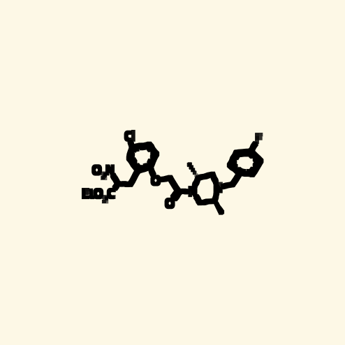 CCOC(=O)C(Cc1cc(Cl)ccc1OCC(=O)N1C[C@H](C)N(Cc2ccc(F)cc2)C[C@H]1C)[N+](=O)[O-]